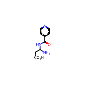 NC(CC(=O)O)NC(=O)c1ccncc1